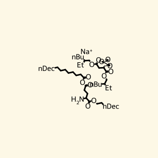 CCCCC(CC)COC(=O)CC(C(=O)OCC(CC)CCCC)S(=O)(=O)[O-].CCCCCCCCCCCCCCCCCC(=O)OC(=O)CCC(N)C(=O)OCCCCCCCCCCCC.[Na+]